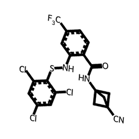 N#CC12CC(NC(=O)c3ccc(C(F)(F)F)cc3NSc3c(Cl)cc(Cl)cc3Cl)(C1)C2